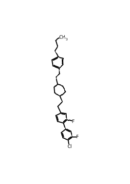 CCCCc1ccc(CCC2CCC(CCc3ccc(-c4ccc(Cl)c(F)c4)c(F)c3)CC2)cc1